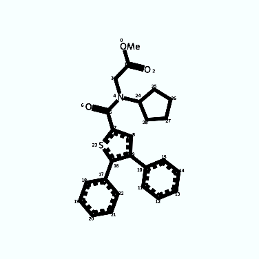 COC(=O)CN(C(=O)c1cc(-c2ccccc2)c(-c2ccccc2)s1)C1CCCC1